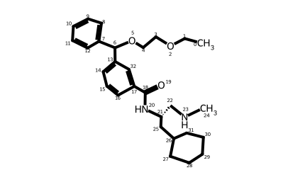 CCOCCOC(c1ccccc1)c1cccc(C(=O)N[C@H](CNC)CC2CCCCC2)c1